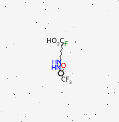 O=C(NCCCCCC=C(F)C(=O)O)Nc1ccc(C(F)(F)F)cc1